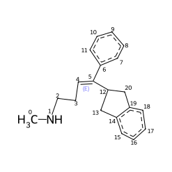 CNCC/C=C(/c1ccccc1)C1Cc2ccccc2C1